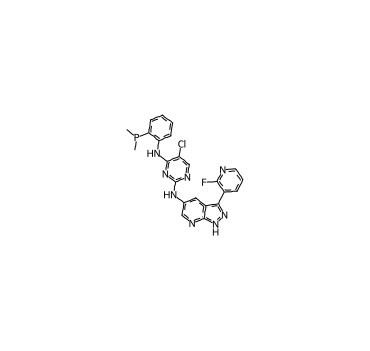 CP(C)c1ccccc1Nc1nc(Nc2cnc3[nH]nc(-c4cccnc4F)c3c2)ncc1Cl